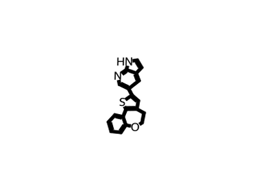 c1ccc2c(c1)OCCc1cc(-c3cnc4[nH]ccc4c3)sc1-2